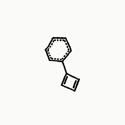 [c]1ccc(C2=CC=C2)cc1